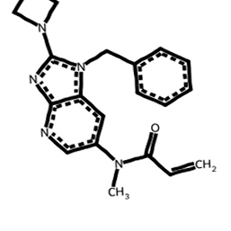 C=CC(=O)N(C)c1cnc2nc(N3CCC3)n(Cc3ccccc3)c2c1